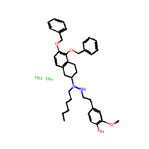 CCCCCCN(NCCc1ccc(O)c(OC)c1)C1CCc2c(ccc(OCc3ccccc3)c2OCc2ccccc2)C1.Cl.Cl